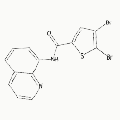 O=C(Nc1cccc2cccnc12)c1cc(Br)c(Br)s1